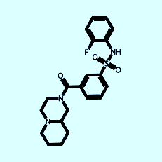 O=C(c1cccc(S(=O)(=O)Nc2ccccc2F)c1)N1CCN2CCCCC2C1